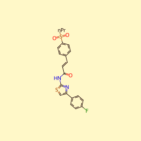 CCCS(=O)(=O)c1ccc(/C=C/C(=O)Nc2nc(-c3ccc(F)cc3)cs2)cc1